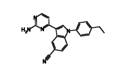 CCc1ccc(-n2cc(-c3ccnc(N)n3)c3cc(C#N)ccc32)cc1